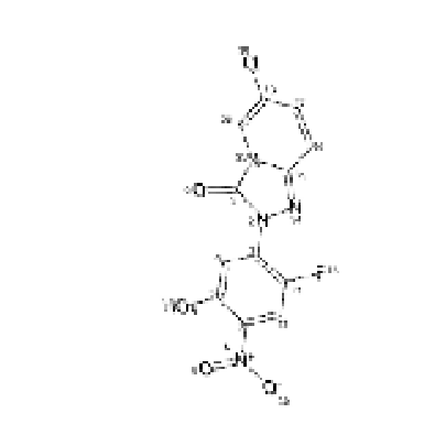 O=c1n(-c2cc(O)c([N+](=O)[O-])cc2F)nc2ccc(Cl)cn12